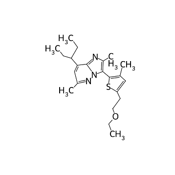 CCOCCc1cc(C)c(-c2c(C)nc3c(C(CC)CC)cc(C)nn23)s1